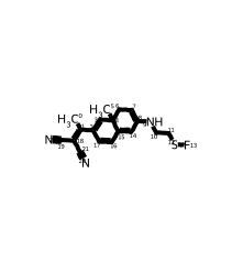 CC(C1=CC2(C)CC=C(NCCSF)C=C2C=C1)=C(C#N)C#N